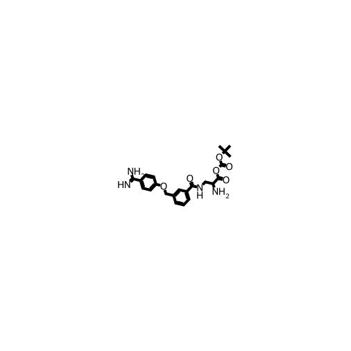 CC(C)(C)OC(=O)OC(=O)C(N)CNC(=O)c1cccc(COc2ccc(C(=N)N)cc2)c1